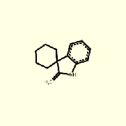 C=C1Nc2ccccc2C12CCCCC2